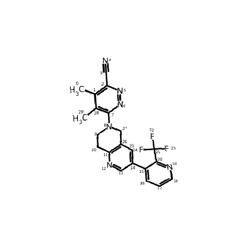 Cc1c(C#N)nnc(N2CCc3ncc(-c4cccnc4C(F)(F)F)cc3C2)c1C